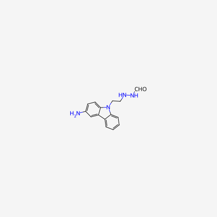 Nc1ccc2c(c1)c1ccccc1n2CCNNC=O